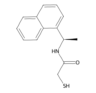 C[C@@H](NC(=O)CS)c1cccc2ccccc12